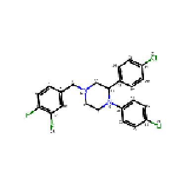 Fc1ccc(CN2CCN(c3ccc(Cl)cc3)C(c3ccc(Cl)cc3)C2)cc1F